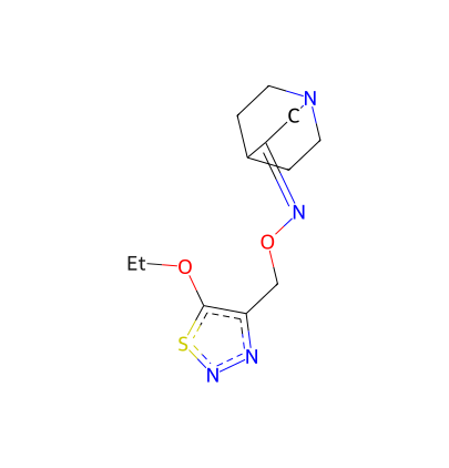 CCOc1snnc1CO/N=C1/CN2CCC1CC2